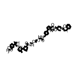 Cc1ccc(NCC2(c3ccc4c(c3)OC(F)(F)O4)CC2)nc1-c1cccc(C(=O)NCCOCCOCC(=O)NCc2ccc(-c3ccc4c(=O)n(CC5(O)CCN(C(=O)C[C@@H](C)c6ccccc6)CC5)cnn34)cc2)c1